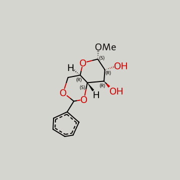 CO[C@H]1O[C@@H]2COC(c3ccccc3)O[C@H]2[C@H](O)[C@H]1O